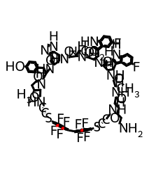 C[C@H]1NC(=O)[C@H](CCCCN)NC(=O)CCSc2c(F)c(F)c(c(F)c2F)-c2c(F)c(F)c(c(F)c2F)SCCNC(=O)[C@]2(C)CCCN2C(=O)[C@H](Cc2ccc(O)cc2)NC(=O)[C@H](Cc2cnc[nH]2)NC(=O)[C@H](CC(=O)O)NC(=O)[C@H](Cc2c[nH]c3ccc(F)cc23)NC(=O)[C@H](Cc2c[nH]c3ccc(F)cc23)NC1=O